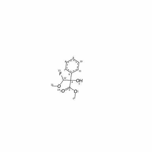 COC(=O)C(O)(c1ccccc1)C(F)OC